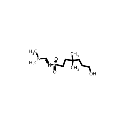 CN(C)C=NS(=O)(=O)CCC(C)(C)CCCO